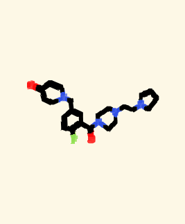 O=C1C=CN(Cc2ccc(F)c(C(=O)N3CCN(CCN4C=CCC4)CC3)c2)CC1